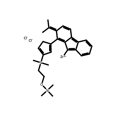 CC(C)=c1ccc2c(c1C1=CC([Si](C)(C)CCO[Si](C)(C)C)=CC1)[C]([Zr+2])=c1ccccc1=2.[Cl-].[Cl-]